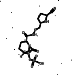 N#CC1CCC(CONC(=O)[C@@H]2CC[C@@H]3CN2C(=O)N3OS(=O)(=O)O)N1